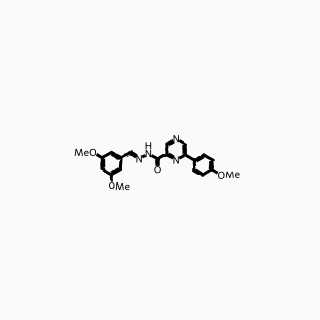 COc1ccc(-c2cncc(C(=O)N/N=C/c3cc(OC)cc(OC)c3)n2)cc1